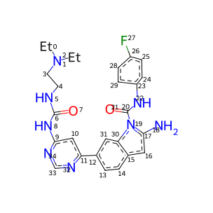 CCN(CC)CCNC(=O)Nc1cc(-c2ccc3cc(N)n(C(=O)Nc4ccc(F)cc4)c3c2)ncn1